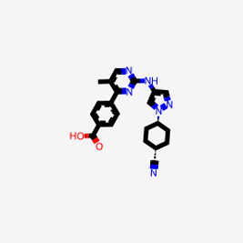 Cc1cnc(Nc2cnn([C@H]3CC[C@@H](C#N)CC3)c2)nc1-c1ccc(C(=O)O)cc1